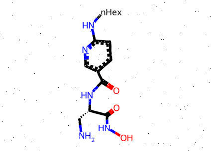 CCCCCCNc1ccc(C(=O)N[C@@H](CN)C(=O)NO)cn1